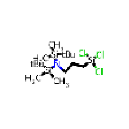 CC(C)(C)[Si](C)(C)N(CCC[Si](Cl)(Cl)Cl)[Si](C)(C)C(C)(C)C